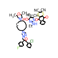 CC1CN(C2CCCCCCCCCCC2)CC(C)O1.CCCCc1c(C)nc(NCC)nc1O.Fc1ccc(C2(Cn3cncn3)OC2c2ccccc2Cl)cc1.N#Cc1sc2c(=O)c3ccccc3c(=O)c=2sc1C#N